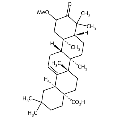 COC1C[C@]2(C)[C@H]3CC=C4[C@@H]5CC(C)(C)CC[C@]5(C(=O)O)CC[C@@]4(C)[C@]3(C)CC[C@H]2C(C)(C)C1=O